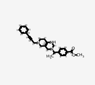 COC(=O)c1ccc(C(C)N2CNC3=C(CN(CC#Cc4ccccc4)CC3)C2)cc1